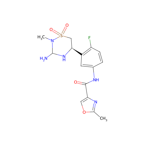 Cc1nc(C(=O)Nc2ccc(F)c([C@@H]3CS(=O)(=O)N(C)C(N)N3)c2)co1